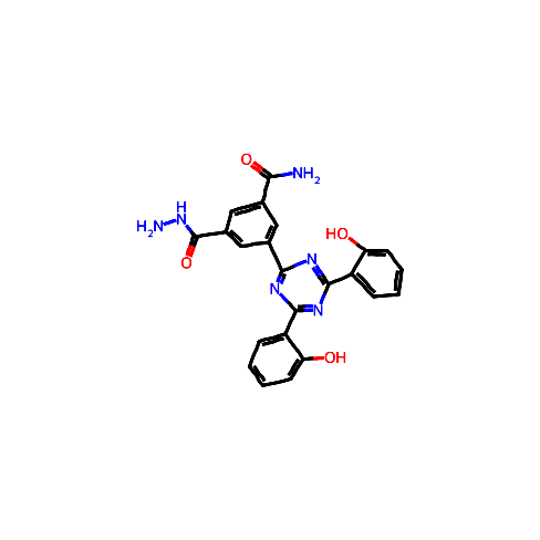 NNC(=O)c1cc(C(N)=O)cc(-c2nc(-c3ccccc3O)nc(-c3ccccc3O)n2)c1